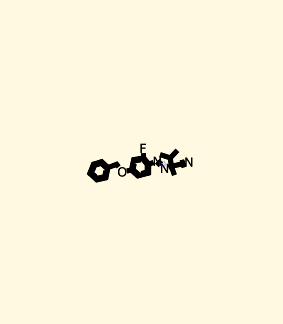 CC(C)C(C)(C#N)/N=N/c1ccc(OCc2ccccc2)cc1F